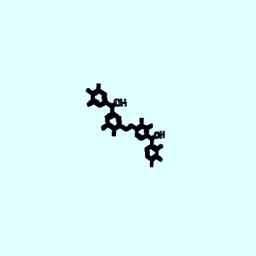 Cc1cc(C(O)c2cc(C)c(C)c(CCc3ccc(C(O)c4ccc(C)c(C)c4C)c(C)c3C)c2)cc(C)c1C